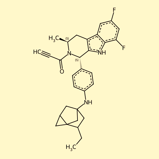 C#CC(=O)N1[C@@H](c2ccc(NC34CC(CC)C5(CC5C3)C4)cc2)c2[nH]c3c(F)cc(F)cc3c2C[C@@H]1C